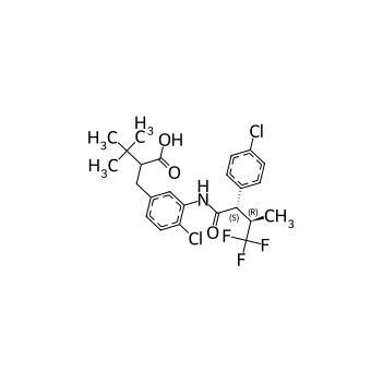 C[C@H]([C@H](C(=O)Nc1cc(CC(C(=O)O)C(C)(C)C)ccc1Cl)c1ccc(Cl)cc1)C(F)(F)F